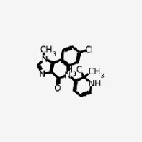 Cn1cnc2c(=O)n(C3=CC=CNC3(C)C)c3cc(Cl)ccc3c21